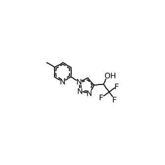 Cc1ccc(-n2cc(C(O)C(F)(F)F)nn2)nc1